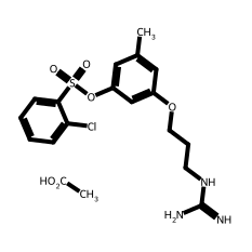 CC(=O)O.Cc1cc(OCCCNC(=N)N)cc(OS(=O)(=O)c2ccccc2Cl)c1